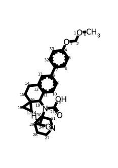 COCOc1ccc(-c2ccc3c(c2)CCC2(CC2)C3N(C(=O)O)[C@@H]2CN3CCC2CC3)cc1